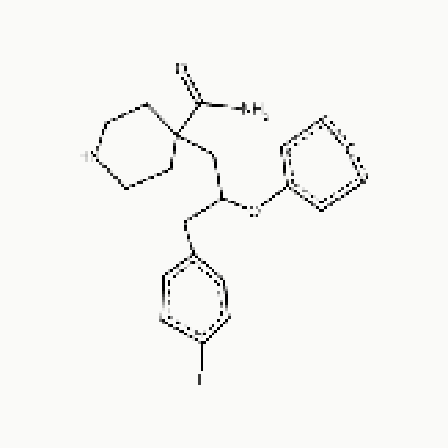 NC(=O)C1(CC(Cc2ccc(F)cc2)Oc2ccccc2)CCNCC1